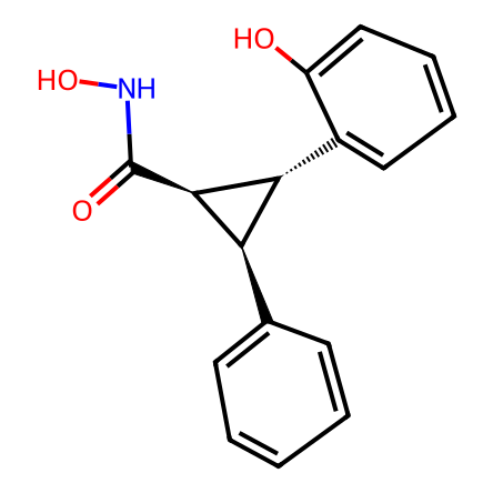 O=C(NO)[C@@H]1[C@H](c2ccccc2)[C@H]1c1ccccc1O